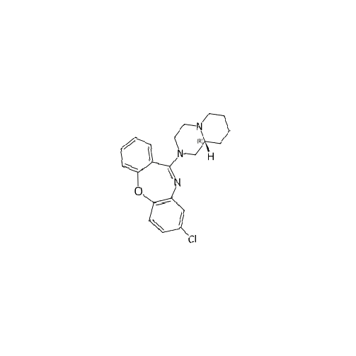 Clc1ccc2c(c1)N=C(N1CCN3CCCC[C@@H]3C1)c1ccccc1O2